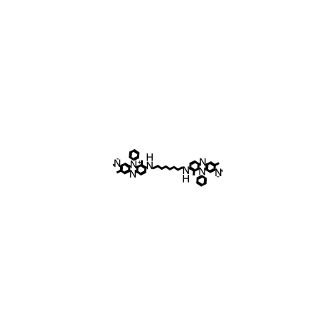 CC1=C(NCCCCCCCCNc2ccc3nc4cc(C)c(N(C)C)cc4[n+](-c4ccccc4)c3c2C)C=CC2=Nc3cc(C)c(N(C)C)cc3N(c3ccccc3)C21